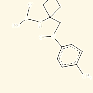 Cc1ccc([S+]([O-])CC2(N[S+]([O-])C(C)(C)C)CCC2)cc1